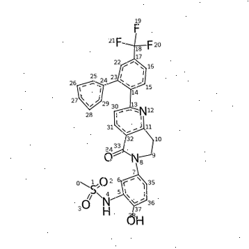 CS(=O)(=O)Nc1cc(N2CCc3nc(-c4ccc(C(F)(F)F)cc4-c4ccccc4)ccc3C2=O)ccc1O